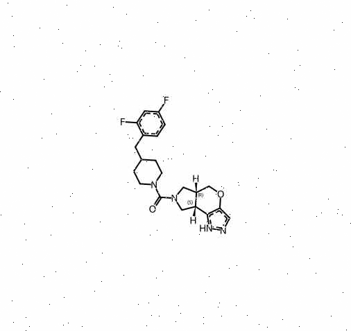 O=C(N1CCC(Cc2ccc(F)cc2F)CC1)N1C[C@@H]2COc3cn[nH]c3[C@@H]2C1